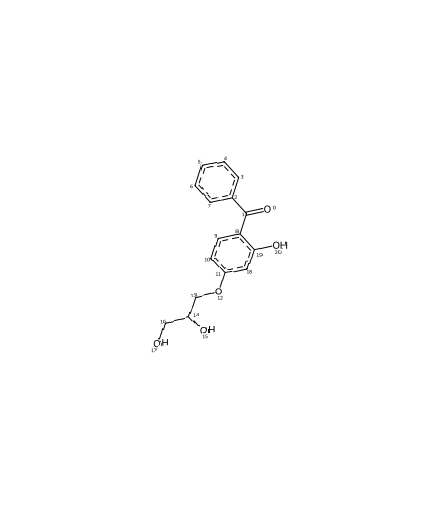 O=C(c1ccccc1)c1ccc(OCC(O)CO)cc1O